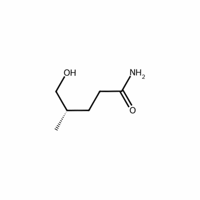 C[C@H](CO)CCC(N)=O